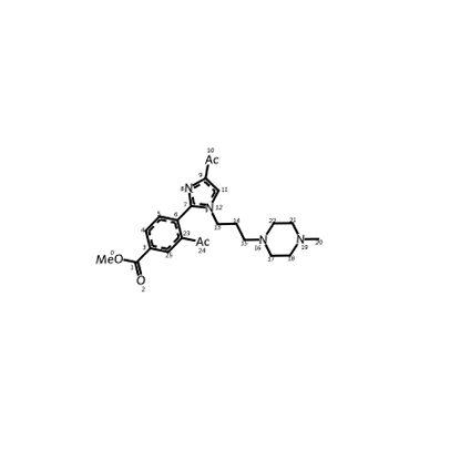 COC(=O)c1ccc(-c2nc(C(C)=O)cn2CCCN2CCN(C)CC2)c(C(C)=O)c1